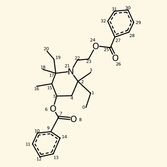 CCC1(C)CC(OC(=O)c2ccccc2)C(C)C(C)(CC)N1CCOC(=O)c1ccccc1